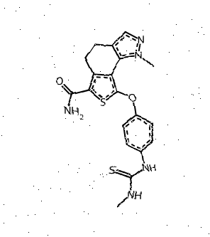 CNC(=S)Nc1ccc(Oc2sc(C(N)=O)c3c2-c2c(cnn2C)CC3)cc1